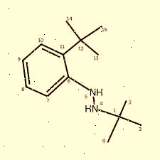 CC(C)(C)NNc1ccccc1C(C)(C)C